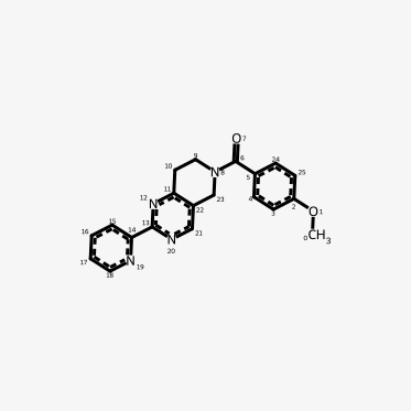 COc1ccc(C(=O)N2CCc3nc(-c4ccccn4)ncc3C2)cc1